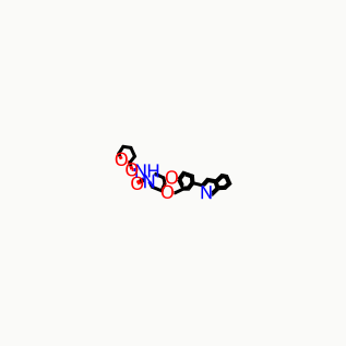 O=C(NOC1CCCCO1)N1CCC2(CC1)OCc1cc(-c3cc4ccccc4cn3)ccc1O2